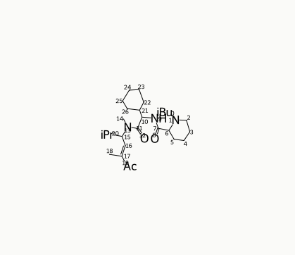 CCC(C)N1CCCCC1C(=O)NC(C(=O)N(C)C(/C=C(\C)C(C)=O)C(C)C)C1CCCCC1